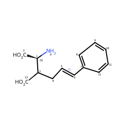 N[C@H](C(=O)O)C(C/C=C/c1ccccc1)C(=O)O